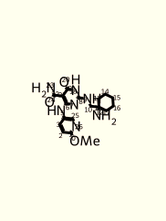 COc1ccc(Nc2nc(NCC3(N)CCCCC3)[nH]c(=O)c2C(N)=O)cn1